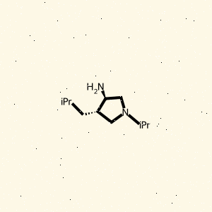 CC(C)C[C@H]1CN(C(C)C)C[C@@H]1N